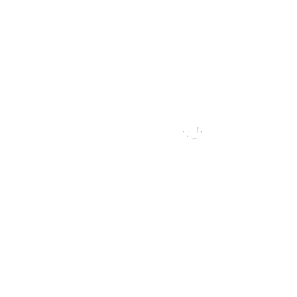 CCCCCCCCCCCCCCCCN1C=CN(C)C1CCC